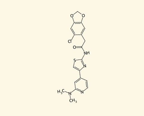 CN(C)c1cc(-c2csc(NC(=O)Cc3cc4c(cc3Cl)OCO4)n2)ccn1